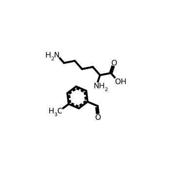 Cc1cccc(C=O)c1.NCCCCC(N)C(=O)O